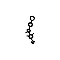 CC1=C(c2c(C)cc(C3C=CC3)cc2C)C=C(c2ccc(C3CCCCC3)cc2)C1